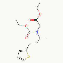 CCOC(=O)CN(C(=O)OCC)C(C)CCc1cccs1